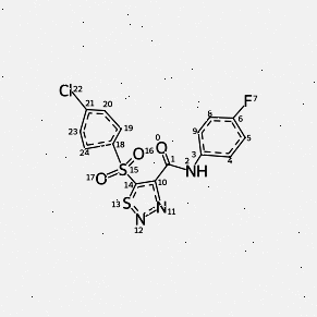 O=C(Nc1ccc(F)cc1)c1nnsc1S(=O)(=O)c1ccc(Cl)cc1